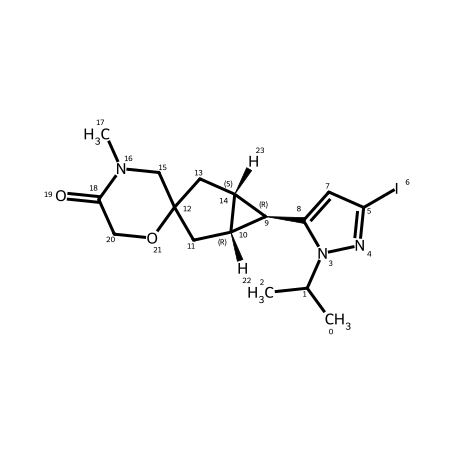 CC(C)n1nc(I)cc1[C@H]1[C@@H]2CC3(C[C@@H]21)CN(C)C(=O)CO3